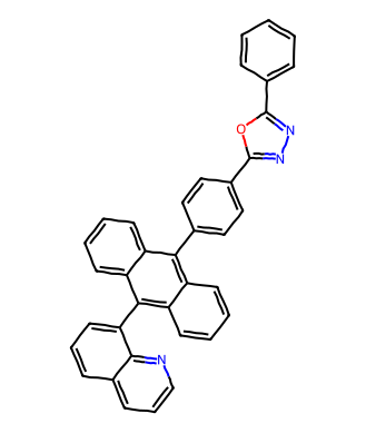 c1ccc(-c2nnc(-c3ccc(-c4c5ccccc5c(-c5cccc6cccnc56)c5ccccc45)cc3)o2)cc1